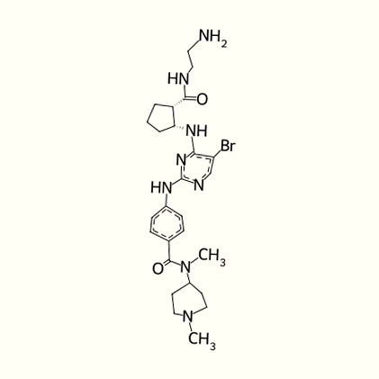 CN1CCC(N(C)C(=O)c2ccc(Nc3ncc(Br)c(N[C@@H]4CCC[C@@H]4C(=O)NCCN)n3)cc2)CC1